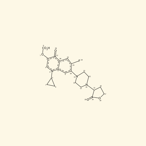 O=C(O)Oc1cn(C2CC2)c2cc(N3CCN(C4CCOC4=O)CC3)c(F)cc2c1=O